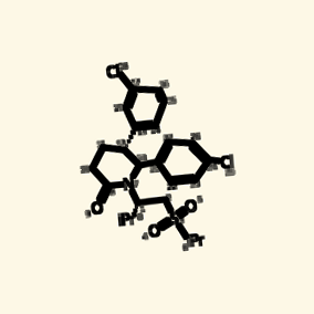 CC(C)[C@@H](CS(=O)(=O)C(C)C)N1C(=O)CC[C@H](c2cccc(Cl)c2)C1c1ccc(Cl)cc1